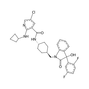 O=C(N[C@H]1CC[C@H](CN2C(=O)C(O)(c3cc(F)ccc3F)c3ccccc32)CC1)c1cc(Cl)cnc1NC1CCC1